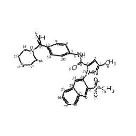 Cc1cc(C(=O)Nc2ccc(C(=N)N3CCSCC3)cc2)n(-c2cc3ccccc3cc2S(C)(=O)=O)n1